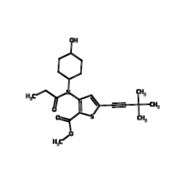 CCC(=O)N(c1cc(C#CC(C)(C)C)sc1C(=O)OC)C1CCC(O)CC1